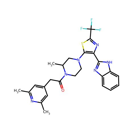 Cc1cc(CC(=O)N2CCN(c3sc(C(F)(F)F)nc3-c3nc4ccccc4[nH]3)CC2C)cc(C)n1